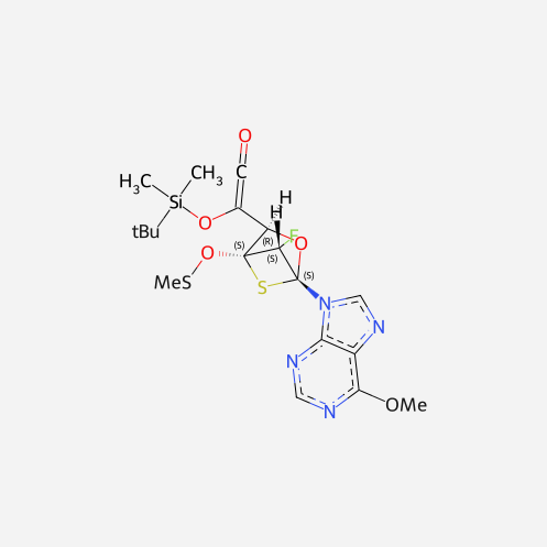 COc1ncnc2c1ncn2[C@@]12O[C@H](C(=C=O)O[Si](C)(C)C(C)(C)C)[C@](OSC)(S1)[C@@H]2F